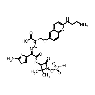 CC1(C)C(NC(=O)/C(=N\O[C@@H](COc2ccc3nc(NCCN)ccc3c2)C(=O)O)c2csc(N)n2)C(=O)N1OS(=O)(=O)O